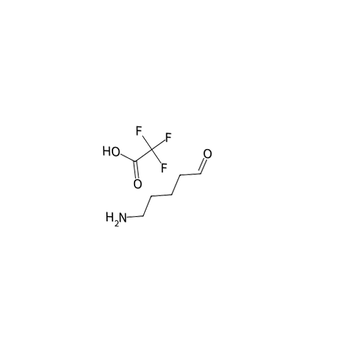 NCCCCC=O.O=C(O)C(F)(F)F